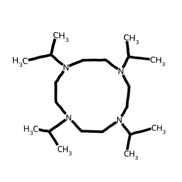 CC(C)N1CCN(C(C)C)CCN(C(C)C)CCN(C(C)C)CC1